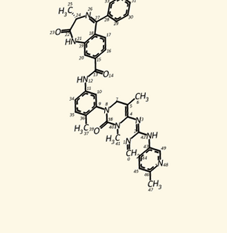 C=N/C(=N\C1=C(C)CN(c2cc(NC(=O)c3ccc4c(c3)NC(=O)[C@H](C)N=C4c3ccccc3)ccc2C)C(=O)N1C)Nc1ccc(C)nc1